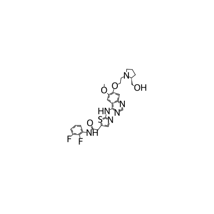 COc1cc2c(Nc3ncc(CC(=O)Nc4cccc(F)c4F)s3)ncnc2cc1OCCN1CCC[C@H]1CO